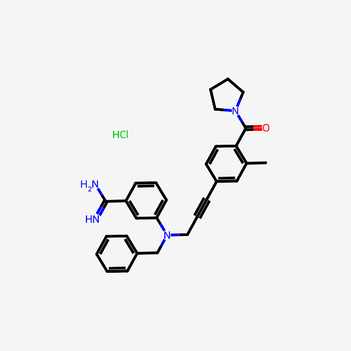 Cc1cc(C#CCN(Cc2ccccc2)c2cccc(C(=N)N)c2)ccc1C(=O)N1CCCC1.Cl